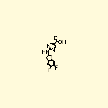 O=C(O)c1cnc(NC2Cc3cc(F)c(F)cc3C2)nc1